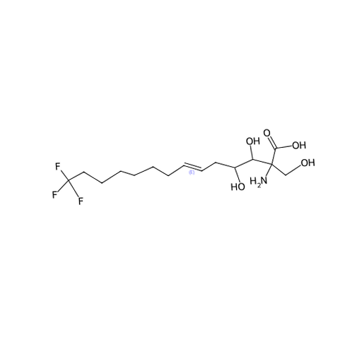 NC(CO)(C(=O)O)C(O)C(O)C/C=C/CCCCCCC(F)(F)F